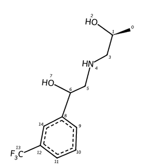 C[C@H](O)CNCC(O)c1cccc(C(F)(F)F)c1